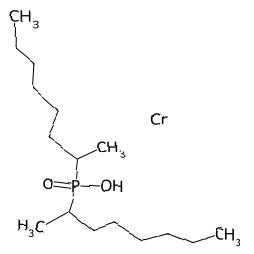 CCCCCCC(C)P(=O)(O)C(C)CCCCCC.[Cr]